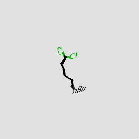 C[CH]CCCCCCC=C(Cl)Cl